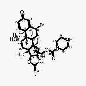 CCCC1O[C@@H]2C[C@H]3[C@@H]4C[C@H](F)C5=CC(=O)C=C[C@]5(C)[C@@]4(F)[C@@H](O)C[C@]3(C)[C@]2(C(=O)COC(=O)N2CCNCC2)O1